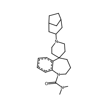 CN(C)C(=O)N1CCCC2(CCN(C3CC4CCC(C4)C3)CC2)c2ccccc21